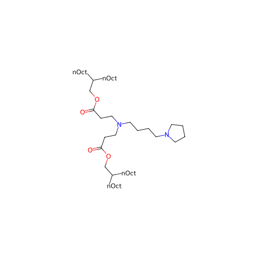 CCCCCCCCC(CCCCCCCC)COC(=O)CCN(CCCCN1CCCC1)CCC(=O)OCC(CCCCCCCC)CCCCCCCC